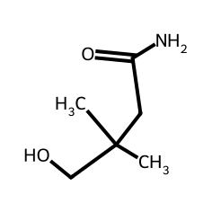 CC(C)(CO)CC(N)=O